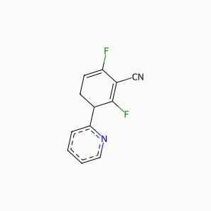 N#CC1=C(F)C(c2ccccn2)CC=C1F